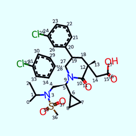 CC(C)N(C[C@H](C1CC1)N1C(=O)[C@@](C)(CC(=O)O)CC(c2cccc(Cl)c2)[C@H]1c1ccc(Cl)cc1)S(C)(=O)=O